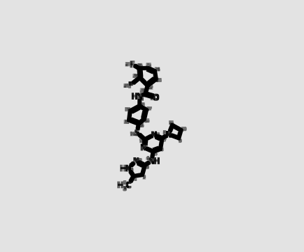 CC1CC(Nc2cc(N3CCC3)nc(Sc3ccc(NC(=O)c4cccc(F)c4F)cc3)n2)=NN1